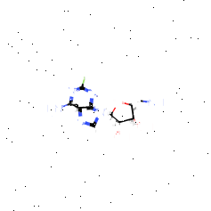 NC[C@H]1O[C@@H](n2cnc3c(N)nc(F)nc32)[C@@H](O)[C@H]1O